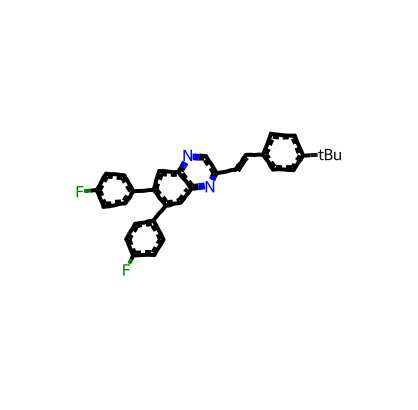 CC(C)(C)c1ccc(/C=C/c2cnc3cc(-c4ccc(F)cc4)c(-c4ccc(F)cc4)cc3n2)cc1